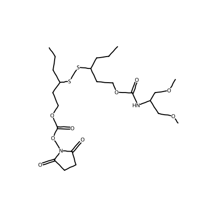 CCCC(CCOC(=O)NC(COC)COC)SSC(CCC)CCOC(=O)ON1C(=O)CCC1=O